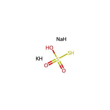 O=S(=O)(O)S.[KH].[NaH]